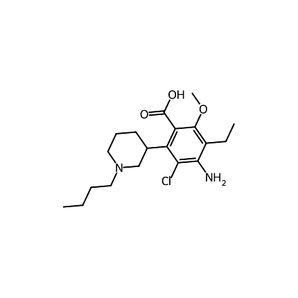 CCCCN1CCCC(c2c(Cl)c(N)c(CC)c(OC)c2C(=O)O)C1